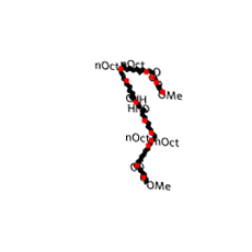 CCCCCCCCC(CCCCCCCCC(=O)NCCNC(=O)CCCCCCCCC(CCCCCCCC)C(CCCCCCCC)CCCCCCCCC(=O)OCCOCCOC)C(CCCCCCCC)CCCCCCCCC(=O)OCCOCCOC